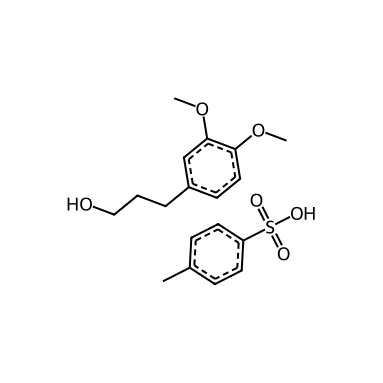 COc1ccc(CCCO)cc1OC.Cc1ccc(S(=O)(=O)O)cc1